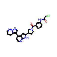 O=C(CCl)Nc1cccc(C(=O)N2CCC(c3cc4c(-c5cnn6ncccc56)ccnc4[nH]3)C2)c1